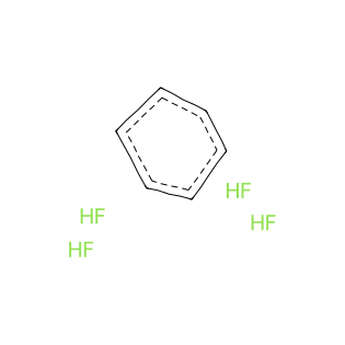 F.F.F.F.c1ccccc1